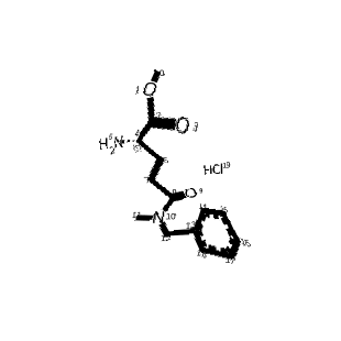 COC(=O)[C@@H](N)CCC(=O)N(C)Cc1ccccc1.Cl